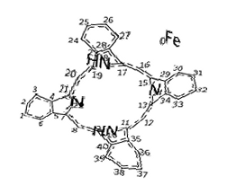 [Fe].c1ccc2c(c1)-c1cc3[nH]c(cc4nc(cc5[nH]c(cc-2n1)c1ccccc51)-c1ccccc1-4)c1ccccc31